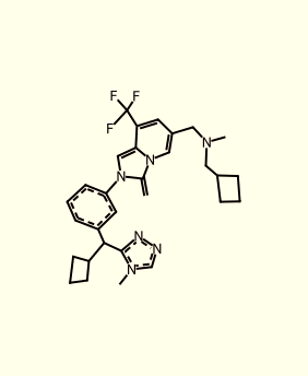 C=C1N2C=C(CN(C)CC3CCC3)C=C(C(F)(F)F)C2=CN1c1cccc(C(c2nncn2C)C2CCC2)c1